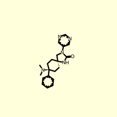 CN(C)[C@]1(c2ccccc2)CC[C@]2(CC1)CN(c1cncnc1)C(=O)N2